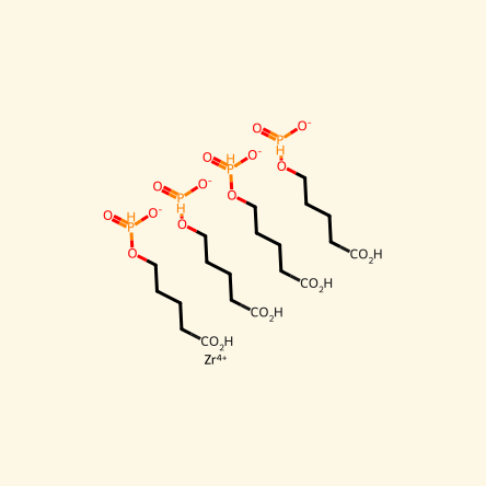 O=C(O)CCCCO[PH](=O)[O-].O=C(O)CCCCO[PH](=O)[O-].O=C(O)CCCCO[PH](=O)[O-].O=C(O)CCCCO[PH](=O)[O-].[Zr+4]